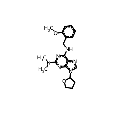 COc1ccccc1CNc1nc(N(C)C)nc2c1ncn2C1CCCO1